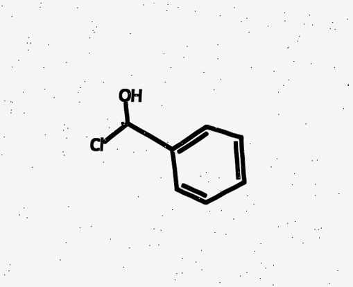 O[C](Cl)c1ccccc1